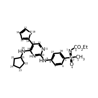 CCOC(=O)N=S(C)(=O)c1ccc(Nc2ncc(-c3cccs3)c(NC3CCCC3)n2)cc1